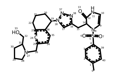 Cc1ccc(S(=O)(=O)N2C=CNC(=O)C2Cc2cn([C@@H]3CCCc4cc(CN5CCCC5CO)ccc43)nn2)cc1